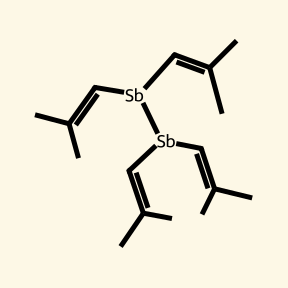 CC(C)=[CH][Sb]([CH]=C(C)C)[Sb]([CH]=C(C)C)[CH]=C(C)C